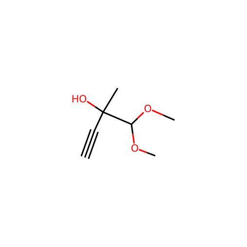 C#CC(C)(O)C(OC)OC